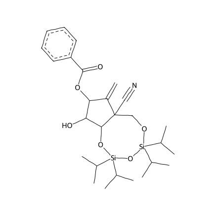 C=C1C(OC(=O)c2ccccc2)C(O)C2O[Si](C(C)C)(C(C)C)O[Si](C(C)C)(C(C)C)OCC12C#N